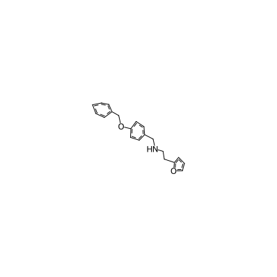 c1ccc(COc2ccc(CNCCc3ccco3)cc2)cc1